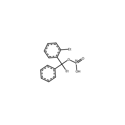 CCc1ccccc1C(CC)(O[PH](=O)O)c1ccccc1